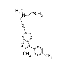 C=CCN(C)CC#Cc1ccc2c(-c3ccc(C(F)(F)F)cc3)c(C)sc2c1